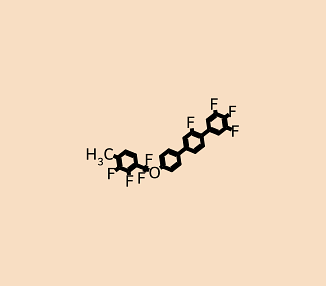 Cc1ccc(C(F)(F)Oc2ccc(-c3ccc(-c4cc(F)c(F)c(F)c4)c(F)c3)cc2)c(F)c1F